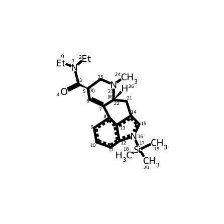 CCN(CC)C(=O)[C@@H]1C=C2c3cccc4c3c(cn4[Si](C)(C)C)C[C@H]2N(C)C1